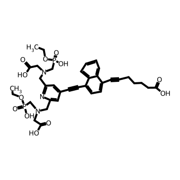 CCOP(=O)(O)CN(CC(=O)O)Cc1cc(C#Cc2ccc(C#CCCCCC(=O)O)c3ccccc23)cc(CN(CC(=O)O)CP(=O)(O)OCC)n1